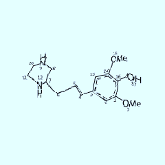 COc1cc(C=CCC2CNCCN2)cc(OC)c1O